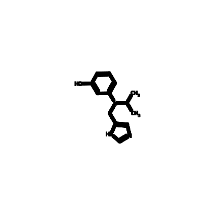 CC(C)N(Cc1cnc[nH]1)c1cccc(O)c1